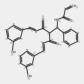 C=CC(=O)NC(c1ccccc1)C(C(=O)/C=C/c1cccc(O)c1)C(=O)/C=C/c1cccc(O)c1